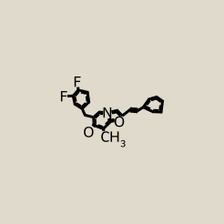 Cc1c(=O)c(Cc2ccc(F)c(F)c2)cn2cc(C#Cc3ccccc3)oc12